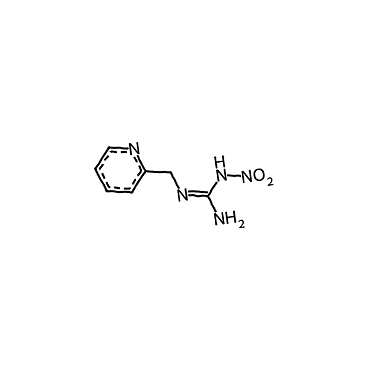 NC(=NCc1ccccn1)N[N+](=O)[O-]